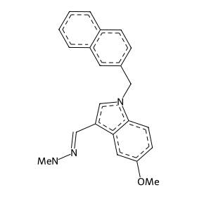 CN/N=C/c1cn(Cc2ccc3ccccc3c2)c2ccc(OC)cc12